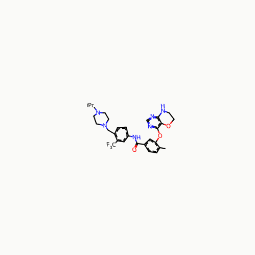 Cc1ccc(C(=O)Nc2ccc(CN3CCN(C(C)C)CC3)c(C(F)(F)F)c2)cc1Oc1ncnc2c1OCCN2